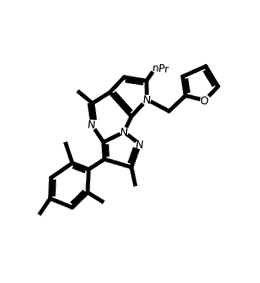 CCCc1cc2c(C)nc3c(-c4c(C)cc(C)cc4C)c(C)nn3c2n1Cc1ccco1